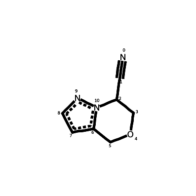 N#CC1COCc2ccnn21